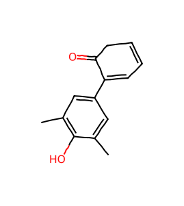 Cc1cc(C2=CC=CCC2=O)cc(C)c1O